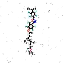 CCC(CC)c1c(F)c(F)c(-c2nnc(-c3c(F)c(F)c(O/C(C)=C/C=C(\C)C(/C(C)=C/C=C(\C)OC(C)(CC)CC)(C(F)(F)F)C(F)(F)F)c(F)c3F)o2)c(F)c1F